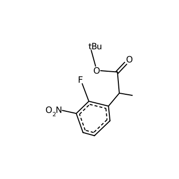 CC(C(=O)OC(C)(C)C)c1cccc([N+](=O)[O-])c1F